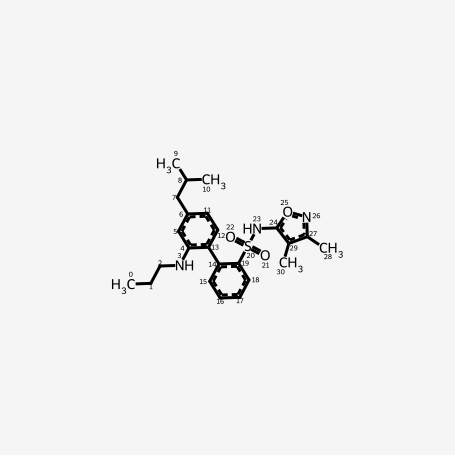 CCCNc1cc(CC(C)C)ccc1-c1ccccc1S(=O)(=O)Nc1onc(C)c1C